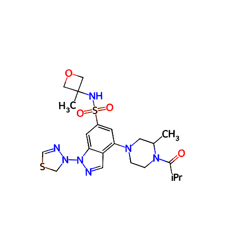 CC(C)C(=O)N1CCN(c2cc(S(=O)(=O)NC3(C)COC3)cc3c2cnn3N2CSC=N2)CC1C